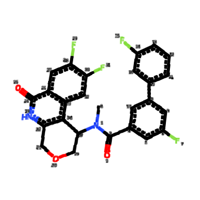 CN(C(=O)c1cc(F)cc(-c2cccc(F)c2)c1)C1COCc2[nH]c(=O)c3cc(F)c(F)cc3c21